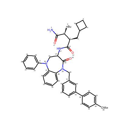 CCCC[C@H](C(N)=O)[C@@H](CC1CCC1)C(=O)NC1CN(c2ccccc2)c2ccccc2N(Cc2cccc(-c3ccc(OC)cc3)c2)C1=O